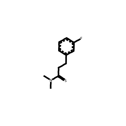 CN(C)C(=S)CCc1cccc(F)c1